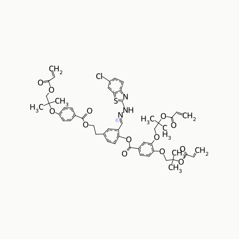 C=CC(=O)OCC(C)(C)Oc1ccc(C(=O)OCCc2ccc(OC(=O)c3ccc(OCC(C)(C)OC(=O)C=C)c(OCC(C)(C)OC(=O)C=C)c3)c(/C=N/Nc3nc4ccc(Cl)cc4s3)c2)cc1